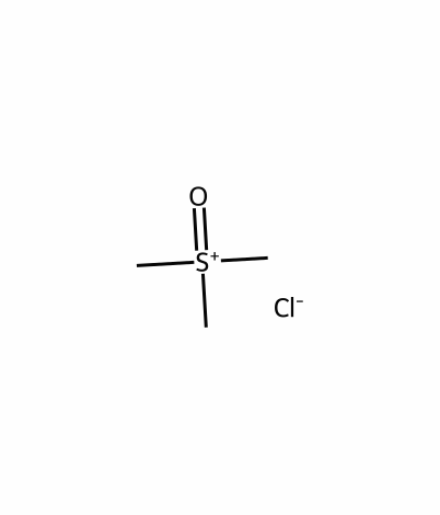 C[S+](C)(C)=O.[Cl-]